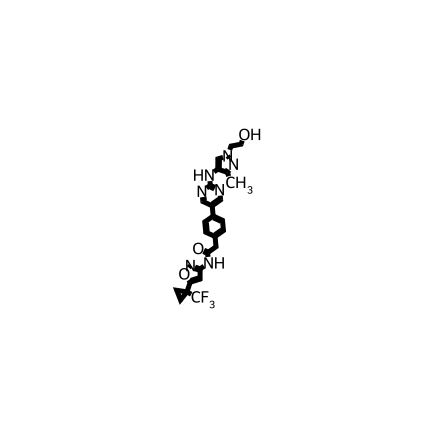 Cc1nn(CCO)cc1Nc1ncc(-c2ccc(CC(=O)Nc3cc(C4(C(F)(F)F)CC4)on3)cc2)cn1